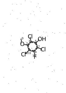 COc1c(Cl)c(O)c(Cl)c(F)c1Cl